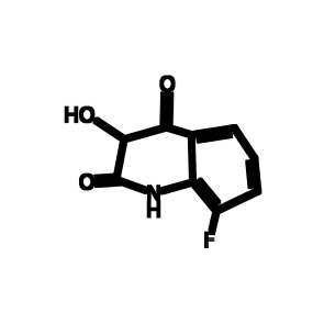 O=C1Nc2c(F)cccc2C(=O)C1O